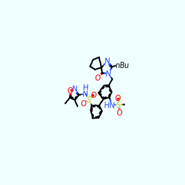 CCCCC1=NC2(CCCC2)C(=O)N1Cc1ccc(-c2ccccc2S(=O)(=O)Nc2noc(C)c2C)c(NS(C)(=O)=O)c1